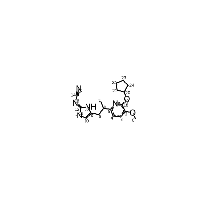 COc1ccc(C(C)CC2=C[N]C(=NC#N)N2)nc1OC1CCCC1